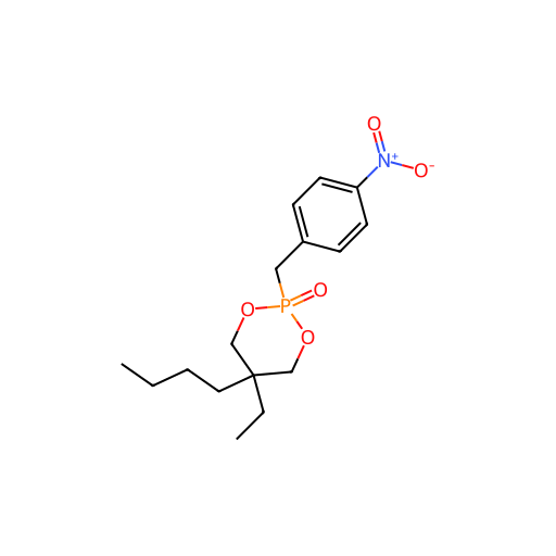 CCCCC1(CC)COP(=O)(Cc2ccc([N+](=O)[O-])cc2)OC1